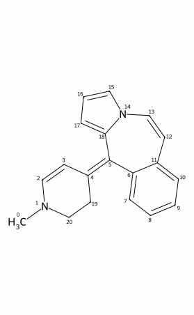 CN1C=CC(=C2c3ccccc3C=Cn3cccc32)CC1